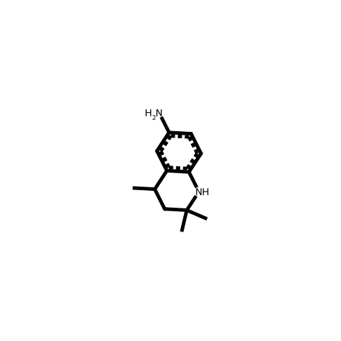 CC1CC(C)(C)Nc2ccc(N)cc21